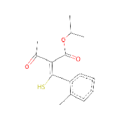 CC(=O)C(C(=O)OC(C)C)=C(S)c1ccccc1C